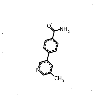 Cc1cncc(-c2ccc(C(N)=O)cc2)c1